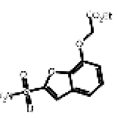 CCOC(=O)COc1cccc2cc(S(N)(=O)=O)oc12